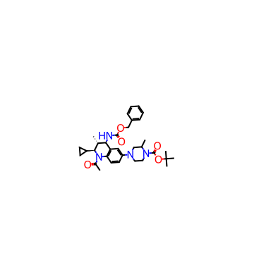 CC(=O)N1c2ccc(N3CCN(C(=O)OC(C)(C)C)C(C)C3)cc2[C@H](NC(=O)OCc2ccccc2)[C@@H](C)[C@@H]1C1CC1